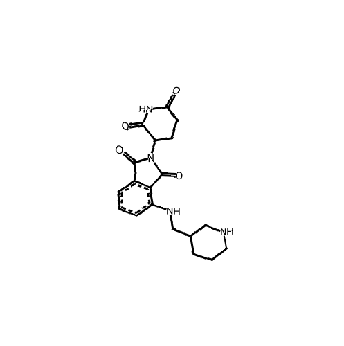 O=C1CCC(N2C(=O)c3cccc(NCC4CCCNC4)c3C2=O)C(=O)N1